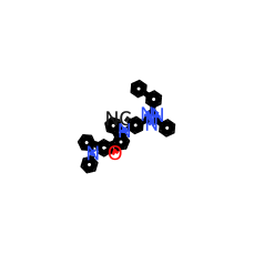 N#Cc1cc(-c2nc(-c3ccccc3)nc(-c3cccc(-c4ccccc4)c3)n2)ccc1-n1c2ccccc2c2c3c(ccc21)oc1cc2c(cc13)c1ccccc1n2-c1ccccc1